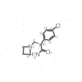 NC(=O)[C@@H](CN1CCC1)c1ccc(Cl)cc1